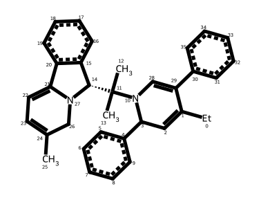 CCC1=CC(c2ccccc2)N(C(C)(C)[C@H]2c3ccccc3C3=CC=C(C)CN32)C=C1c1ccccc1